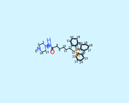 CN1CCN(NC(=O)CCCCCC[PH](c2ccccc2)(c2ccccc2)c2ccccc2)CC1